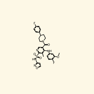 COc1cc(Nc2c(C(=O)N3CCC(c4ccc(F)cc4)CC3)cnc(S(=O)(=O)Nc3ccon3)c2C)ccc1F